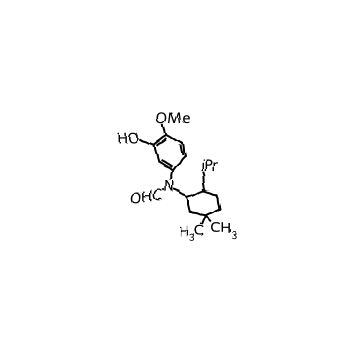 COc1ccc(N(C=O)C2CC(C)(C)CCC2C(C)C)cc1O